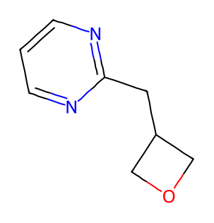 c1cnc(CC2COC2)nc1